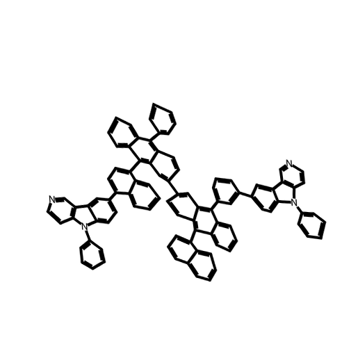 c1ccc(-c2c3ccccc3c(-c3ccc(-c4ccc5c(c4)c4cnccc4n5-c4ccccc4)c4ccccc34)c3cc(-c4ccc5c(-c6cccc7ccccc67)c6ccccc6c(-c6cccc(-c7ccc8c(c7)c7cnccc7n8-c7ccccc7)c6)c5c4)ccc23)cc1